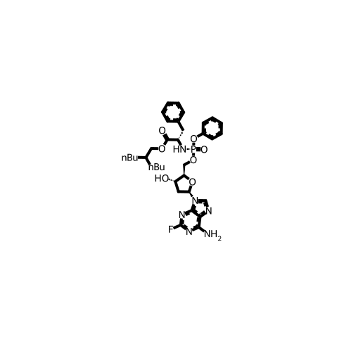 CCCCC(CCCC)COC(=O)[C@H](Cc1ccccc1)N[P@](=O)(OC[C@H]1O[C@@H](n2cnc3c(N)nc(F)nc32)C[C@@H]1O)Oc1ccccc1